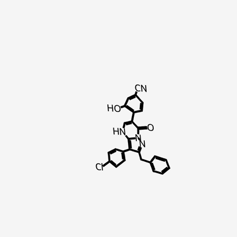 N#Cc1ccc(-c2c[nH]c3c(-c4ccc(Cl)cc4)c(Cc4ccccc4)nn3c2=O)c(O)c1